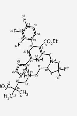 CCOC(=O)C1=C(CN2CC(F)(F)C[C@@H]2CCNCCC(C)(C)C(=O)O)NC(c2nccs2)=N[C@@H]1c1ccc(F)c(F)c1F